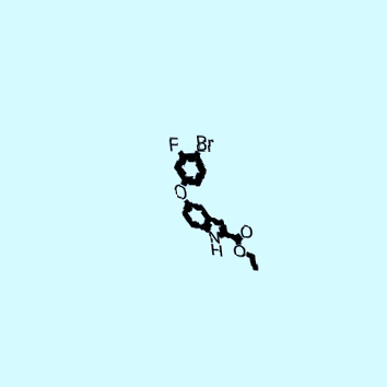 CCOC(=O)c1cc2cc(Oc3ccc(Br)c(F)c3)ccc2[nH]1